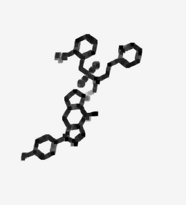 C[C@@H]1C2=C(CC[C@@H]2CN(CCc2ccccn2)S(=O)(=O)Cc2ccccc2C(F)(F)F)Cc2c1cnn2-c1ccc(F)cc1